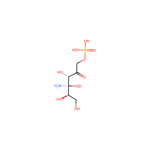 N[C@](O)([C@H](O)CO)[C@H](O)C(=O)COP(=O)(O)O